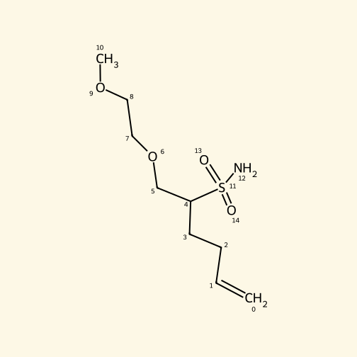 C=CCCC(COCCOC)S(N)(=O)=O